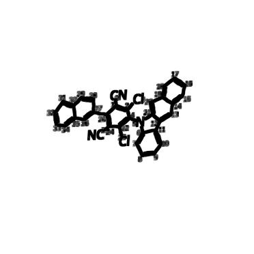 N#Cc1c(Cl)c(-n2c3ccccc3c3cc4ccccc4cc32)c(Cl)c(C#N)c1-c1ccc2ccccc2c1